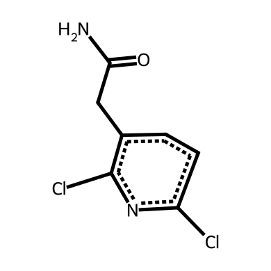 NC(=O)Cc1ccc(Cl)nc1Cl